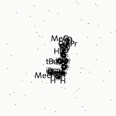 COC(=O)N[C@H](C(=O)N1CCC[C@H]1C(=O)Nc1ccc([C@H]2CCC(c3ccc(-c4c[nH]c([C@@H]5CCCN5C(=O)[C@@H](NC(=O)OC)C(C)C)n4)cc3)N2c2ccc(C(C)(C)C)cc2)cc1)C(C)C